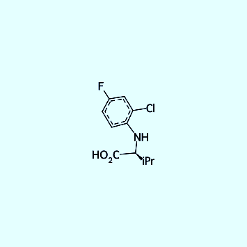 CC(C)[C@H](Nc1ccc(F)cc1Cl)C(=O)O